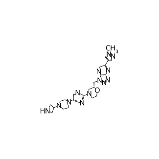 Cn1cc(-c2cnc3c(nnn3C[C@@H]3CN(c4ncc(N5CCN(C6CNC6)CC5)cn4)CCO3)n2)cn1